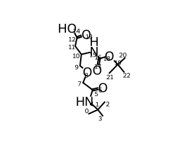 CC(C)(C)NC(=O)COCC(CC(=O)O)NC(=O)OC(C)(C)C